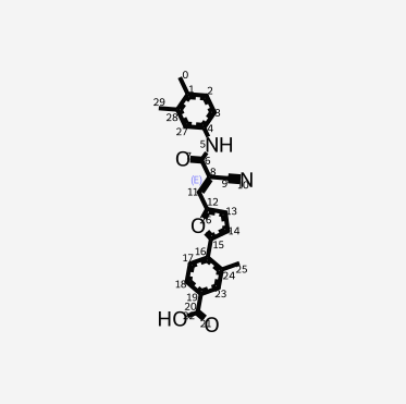 Cc1ccc(NC(=O)/C(C#N)=C/c2ccc(-c3ccc(C(=O)O)cc3C)o2)cc1C